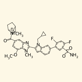 COc1cc(C(=O)N2CC3CCC2[C@@H]3C)cc2nc(-c3cc4ccc(-c5cc(S(N)(=O)=O)c(F)cc5F)cc4n3CC3CC3)n(C)c12